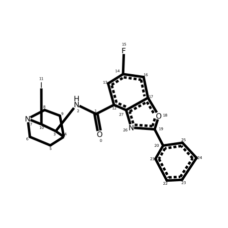 O=C(NC1C2CCN(CC2)C1I)c1cc(F)cc2oc(-c3ccccc3)nc12